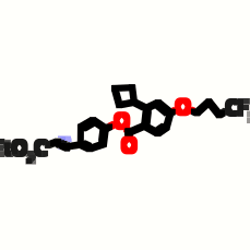 CCOC(=O)/C=C/c1ccc(OC(=O)c2ccc(OCCCC(F)(F)F)cc2C2CCC2)cc1